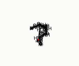 CCCCCCCC[C@H](NC(=O)C1CCCN1C(=O)c1ccccc1)C(=O)NCC(=O)NC(C)(C)C(=O)NCC(=O)NC(CC(C)C)C(=O)NC(C)(C)C(=O)NC(C)(C)C(=O)NCCC(=O)NCCN(C)C